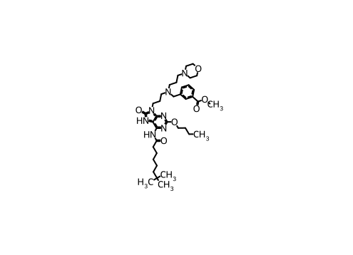 CCCCOc1nc(NC(=O)CCCCCC(C)(C)C)c2[nH]c(=O)n(CCCN(CCCN3CCOCC3)Cc3cccc(C(=O)OC)c3)c2n1